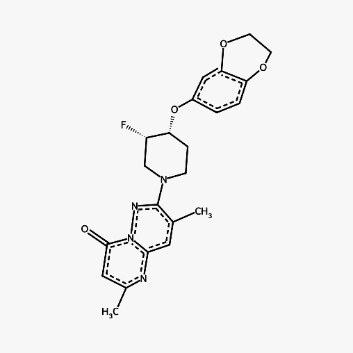 Cc1cc(=O)n2nc(N3CC[C@@H](Oc4ccc5c(c4)OCCO5)[C@@H](F)C3)c(C)cc2n1